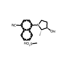 CS(=O)(=O)O.C[C@H]1[C@H](O)CCN1c1ccc(C#N)c2ccccc12